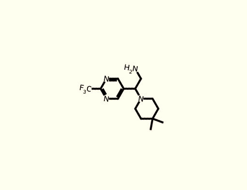 CC1(C)CCN(C(CN)c2cnc(C(F)(F)F)nc2)CC1